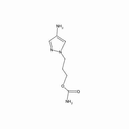 NC(=O)OCCCn1cc(N)cn1